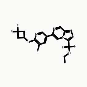 CCOC(F)(F)c1nnc2cnc(-c3cnc(OC4CC(F)(F)C4)c(F)c3)cn12